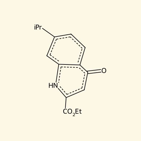 CCOC(=O)c1cc(=O)c2ccc(C(C)C)cc2[nH]1